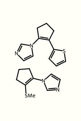 CSC1=C(n2ccnc2)CCC1.c1csc(C2=C(n3ccnc3)CCC2)c1